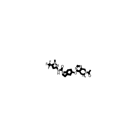 CC(=O)N1Cc2ncnc(Oc3ccc4c(ccn4C(=O)Nc4cc(C(F)(F)F)n(C)n4)c3)c2C[C@@H]1C